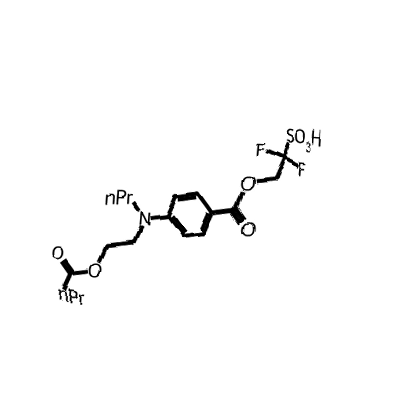 CCCC(=O)OCCN(CCC)c1ccc(C(=O)OCC(F)(F)S(=O)(=O)O)cc1